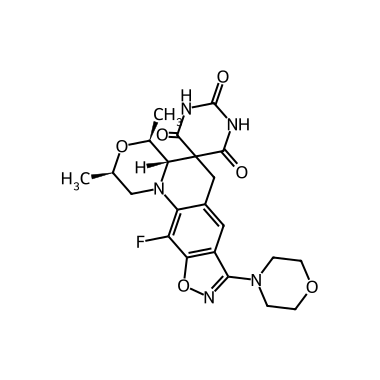 C[C@@H]1CN2c3c(cc4c(N5CCOCC5)noc4c3F)CC3(C(=O)NC(=O)NC3=O)[C@H]2[C@H](C)O1